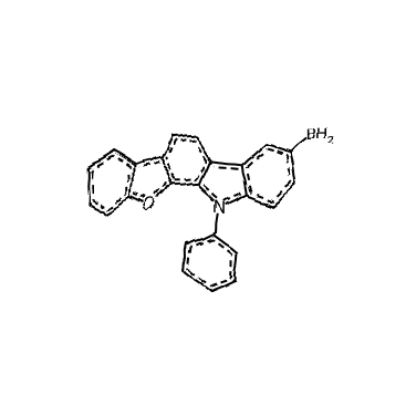 Bc1ccc2c(c1)c1ccc3c4ccccc4oc3c1n2-c1ccccc1